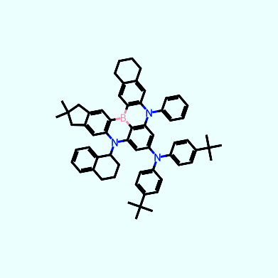 CC1(C)Cc2cc3c(cc2C1)N(C1CCCc2ccccc21)c1cc(N(c2ccc(C(C)(C)C)cc2)c2ccc(C(C)(C)C)cc2)cc2c1B3c1cc3c(cc1N2c1ccccc1)CCCC3